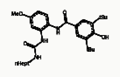 CCCCCCCNC(=O)Nc1cc(OC)ccc1NC(=O)c1cc(C(C)(C)C)c(O)c(C(C)(C)C)c1